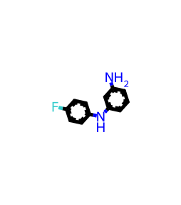 Nc1cccc(Nc2ccc(F)cc2)c1